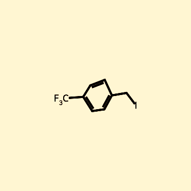 FC(F)(F)c1ccc(CI)cc1